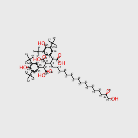 CC(C)(C)c1cc(C(C(=O)O)C(CCCCCCCCCCCCCCCC(=O)CO)C(C(=O)O)C(C(=O)O)c2cc(C(C)(C)C)c(O)c(C(C)(C)C)c2)cc(C(C)(C)C)c1O